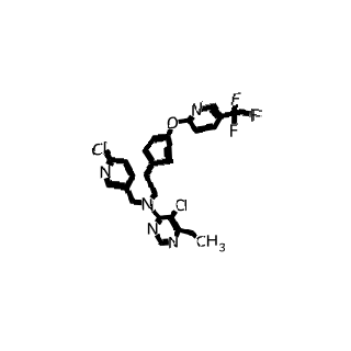 CCc1ncnc(N(CCc2ccc(Oc3ccc(C(F)(F)F)cn3)cc2)Cc2ccc(Cl)nc2)c1Cl